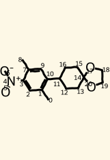 Cc1cc([N+](=O)[O-])c(C)cc1C1CCC2(CC1)OCCO2